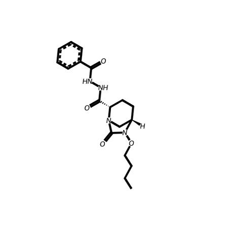 CCCCON1C(=O)N2C[C@@H]1CC[C@H]2C(=O)NNC(=O)c1ccccc1